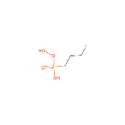 CCCCP(=O)(O)OO